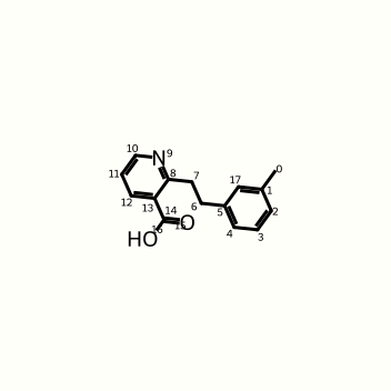 Cc1cccc(CCc2ncccc2C(=O)O)c1